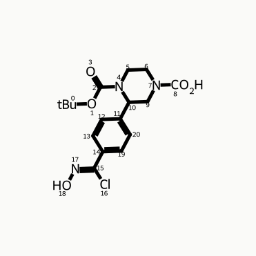 CC(C)(C)OC(=O)N1CCN(C(=O)O)CC1c1ccc(C(Cl)=NO)cc1